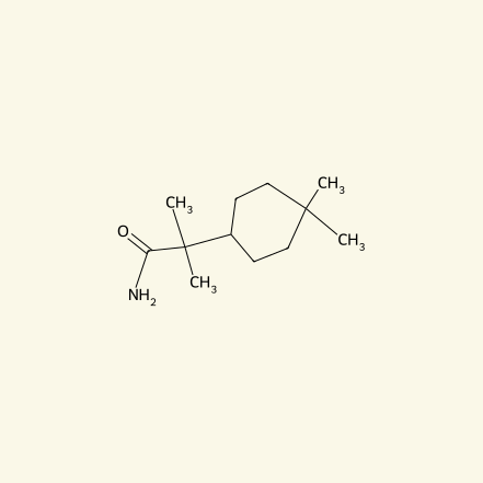 CC1(C)CCC(C(C)(C)C(N)=O)CC1